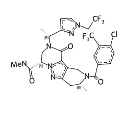 CNC(=O)[C@@H]1CN([C@H](C)c2ccn(CC(F)(F)F)n2)C(=O)c2c3c(nn21)C[C@@H](C)N(C(=O)c1ccc(Cl)c(C(F)(F)F)c1)C3